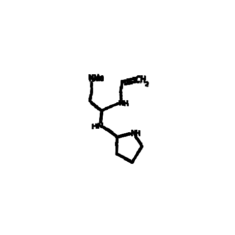 C=CNC(CNC)NC1CCCN1